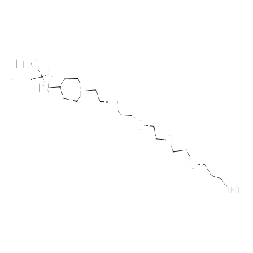 CCCC(C)(C)NC1CCN(CCOCCOCCOCCOCCCC(C)C)CC1